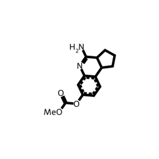 COC(=O)Oc1ccc2c(c1)N=C(N)C1CCCC21